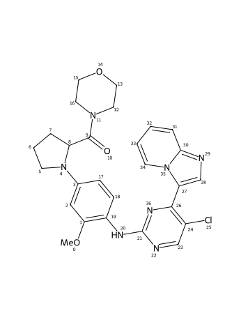 COc1cc(N2CCCC2C(=O)N2CCOCC2)ccc1Nc1ncc(Cl)c(-c2cnc3ccccn23)n1